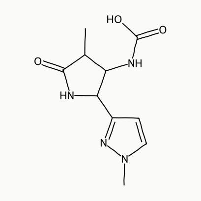 CC1C(=O)NC(c2ccn(C)n2)C1NC(=O)O